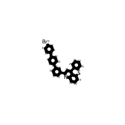 Brc1ccc(-c2ccc(-c3cccc(-c4cc5c6c(cccc6n4)Sc4ccccc4-5)c3)cc2)cc1